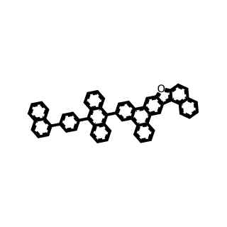 c1ccc2c(-c3ccc(-c4c5ccccc5c(-c5ccc6c(c5)c5ccccc5c5cc7c(cc65)oc5ccc6ccccc6c57)c5ccccc45)cc3)cccc2c1